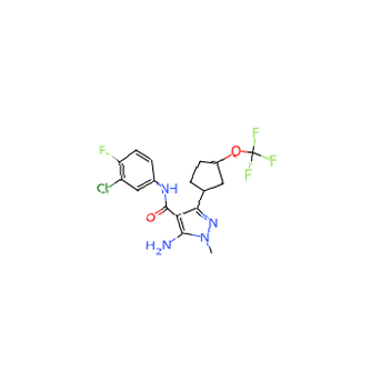 Cn1nc(C2CCC(OC(F)(F)F)C2)c(C(=O)Nc2ccc(F)c(Cl)c2)c1N